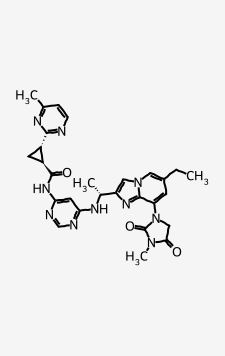 CCc1cc(N2CC(=O)N(C)C2=O)c2nc([C@@H](C)Nc3cc(NC(=O)[C@H]4C[C@@H]4c4nccc(C)n4)ncn3)cn2c1